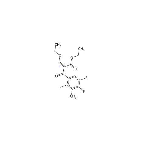 CCO/C=C(\C(=O)OCC)C(=O)c1cc(F)c(F)c(C)c1F